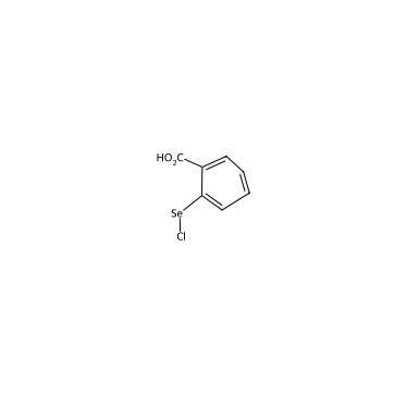 O=C(O)c1ccccc1[Se]Cl